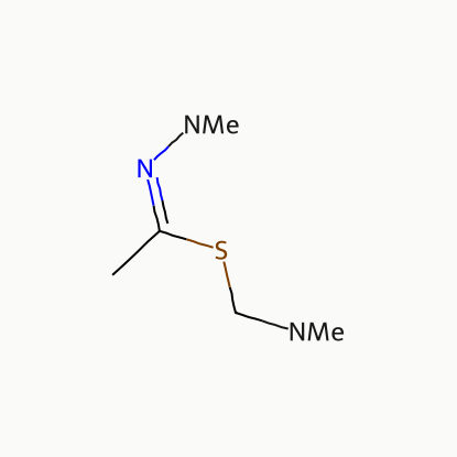 CNCS/C(C)=N\NC